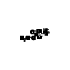 [Li+].[Li+].[Li+].[O-][Si]([O-])([O-])[O][AlH2]